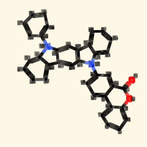 O=c1oc2ccccc2c2ccc(-n3c4ccccc4c4cc5c(cc43)c3ccccc3n5-c3ccccc3)cc12